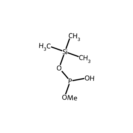 COP(O)O[Si](C)(C)C